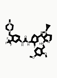 COc1ccc(CNc2nccc3c2c(-c2ccc(NC(=O)Nc4ccc(CN5CCN(C)CC5)c(C(F)(F)F)c4)c(F)c2)nn3C2CC2)c(OC)c1